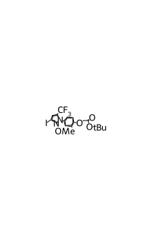 COc1cc(-n2nc(I)cc2C(F)(F)F)ccc1OCC(=O)OC(C)(C)C